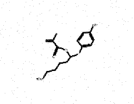 C=C(C)C(=O)OC(CCCCCCCCCCCCCC)Oc1ccc(CCC)cc1